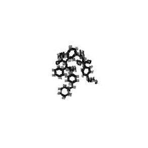 Nc1ccc(S(=O)(=O)Nc2ccc3c(c2)/C(=C(\Nc2ccc(CN4CCCCC4)cc2)c2ccccc2)C(=O)N3)cc1